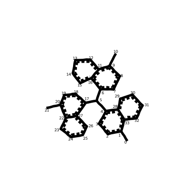 Cc1ccc(C(c2ccc(C)c3ccccc23)c2ccc(C)c3ccccc23)c2ccccc12